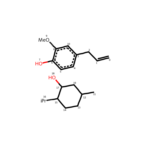 C=CCc1ccc(O)c(OC)c1.CC1CCC(C(C)C)C(O)C1